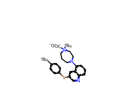 CC(C)(C)c1ccc(Sc2cnc3cccc(N4CCC[N+](C(=O)[O-])(C(C)(C)C)CC4)c3c2)cc1